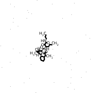 C=CCCNC(=O)C(=O)C(CCC=C)NC(=O)[C@@H]1[C@@H]2[C@H](CN1C(=O)[C@@H](C)C1CCCCC1)C2(C)C